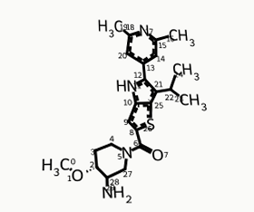 CO[C@@H]1CCN(C(=O)c2cc3[nH]c(-c4cc(C)nc(C)c4)c(C(C)C)c3s2)CC1N